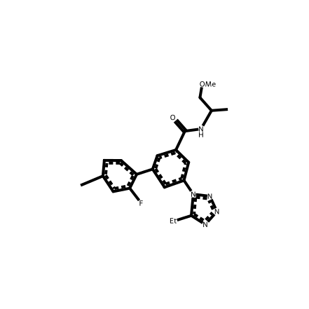 CCc1nnnn1-c1cc(C(=O)NC(C)COC)cc(-c2ccc(C)cc2F)c1